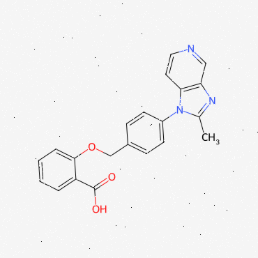 Cc1nc2cnccc2n1-c1ccc(COc2ccccc2C(=O)O)cc1